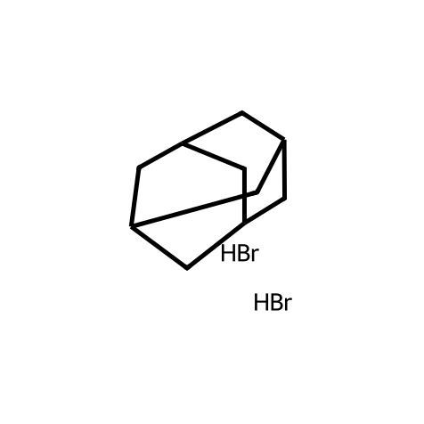 Br.Br.C1C2CC3CC1CC(C2)C3